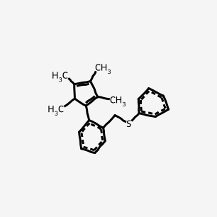 CC1=C(C)C(C)C(c2ccccc2CSc2ccccc2)=C1C